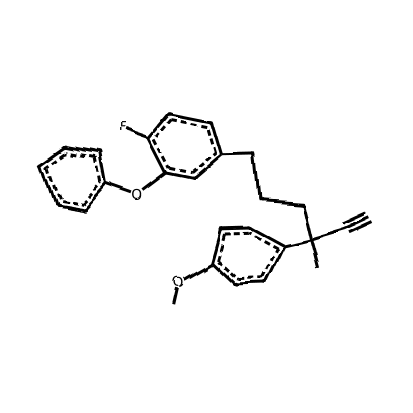 C#CC(C)(CCCc1ccc(F)c(Oc2ccccc2)c1)c1ccc(OC)cc1